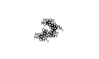 C[C@H]1[C@H](C)CC[C@]2(C(=O)OC3O[C@H](CO[C@H]4O[C@H](CO)[C@@H](O[C@@H]5O[C@@H](C)[C@H](O)[C@@H](O)[C@H]5O)[C@H](O)[C@H]4O)[C@@H](O)[C@H](O)[C@H]3O)CC[C@]3(C)C(=CCC4[C@@]5(C)C[C@@H](O)[C@H](O)[C@@](C)(CO)[C@@H]5CC[C@]43C)[C@H]12